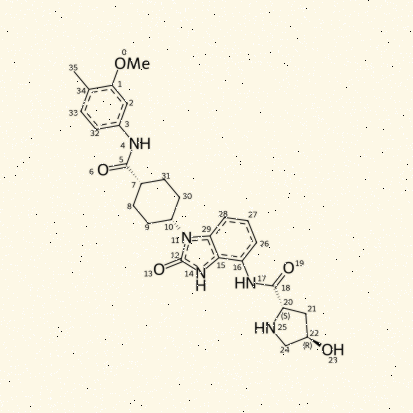 COc1cc(NC(=O)[C@H]2CC[C@@H](n3c(=O)[nH]c4c(NC(=O)[C@@H]5C[C@@H](O)CN5)cccc43)CC2)ccc1C